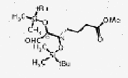 COC(=O)CCC[C@H](O[Si](C)(C)C(C)(C)C)[C@@H](C=O)O[Si](C)(C)C(C)(C)C